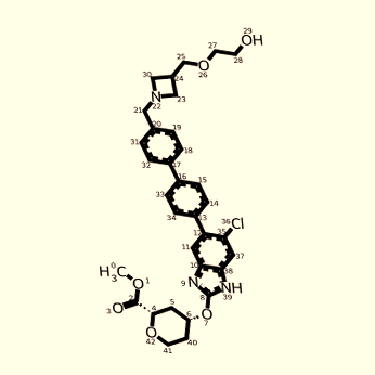 COC(=O)[C@@H]1C[C@H](Oc2nc3cc(-c4ccc(-c5ccc(CN6CC(COCCO)C6)cc5)cc4)c(Cl)cc3[nH]2)CCO1